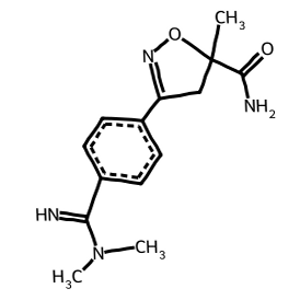 CN(C)C(=N)c1ccc(C2=NOC(C)(C(N)=O)C2)cc1